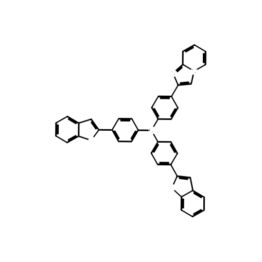 c1ccc2sc(-c3ccc(N(c4ccc(-c5cn6ccccc6n5)cc4)c4ccc(-c5cc6ccccc6s5)cc4)cc3)cc2c1